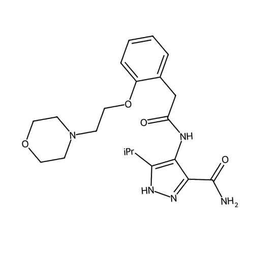 CC(C)c1[nH]nc(C(N)=O)c1NC(=O)Cc1ccccc1OCCN1CCOCC1